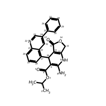 CC(C)OC(=O)C1=C(N)NC2=C(C(=O)OC2)C1c1cccc2ncc(-c3ccccc3)cc12